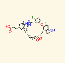 CC(C)n1nc2nc1C(C)(c1cccc(CCC(=O)O)c1)CCCC(C)(C)CS(=O)(=O)CCc1c(c(F)cc3[nH]ccc13)Oc1ccc(F)c-2c1